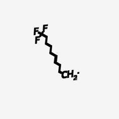 [CH2]CC/C=C/CCCCC(F)(F)F